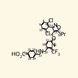 CC(C)c1onc(-c2c(Cl)cccc2Cl)c1COc1ccc(CNCc2ccc(C(=O)O)cc2)c(C(F)(F)F)n1